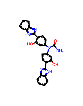 NC(=O)N(c1ccc(-c2nc3ccccc3[nH]2)c(O)c1)c1ccc(-c2nc3ccccc3[nH]2)c(O)c1